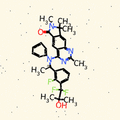 Cc1nc(N(c2ccccc2)[C@H](C)c2cccc(C(F)(F)C(C)(C)O)c2F)c2cc3c(cc2n1)C(C)(C)N(C)C3=O